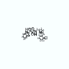 O=C(NCc1ccn(Cc2ccccc2Cl)n1)[C@H](O)[C@@H](O)c1nc2ccccc2s1